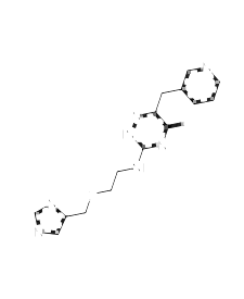 O=c1nc(NCCSCc2c[nH]cn2)[nH]nc1Cc1cccnc1